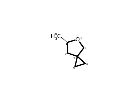 C[C@H]1CC2(CC2)CO1